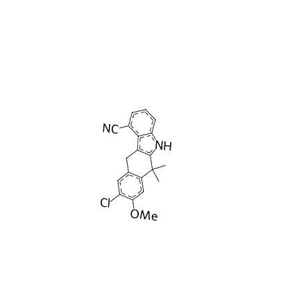 COc1cc2c(cc1Cl)Cc1c([nH]c3cccc(C#N)c13)C2(C)C